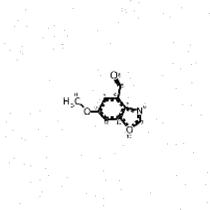 COc1cc(C=O)c2ncoc2c1